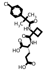 CC(C)(C(=O)NC1(C(=O)N[C@H](CCC(=O)O)C(=O)O)CCC1)c1ccc(Cl)cc1